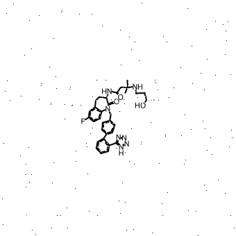 C[C@H](O)CCNC(C)(C)CC(=O)N[C@@H]1CCc2cc(F)ccc2N(Cc2ccc(-c3ccccc3-c3nnn[nH]3)cc2)C1=O